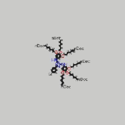 CCCCCCCCCCCCCCCCOc1cc(Nc2nc(Nc3cc(OCCCCCCCCCCCCCCCC)c(OCCCCCCCCCCCCCCCC)c(OCCCCCCCCCCCCCCCC)c3)nc(-c3ccc(CC)cc3)n2)cc(OCCCCCCCCCCCCCCCC)c1OCCCCCCCCCCCCCCCC